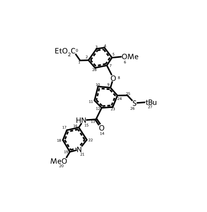 CCOC(=O)Cc1ccc(OC)c(Oc2ccc(C(=O)Nc3ccc(OC)nc3)cc2CSC(C)(C)C)c1